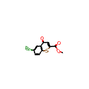 COC(=O)c1cc(=O)c2cc(Br)ccc2s1